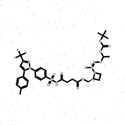 Cc1ccc(-c2cc(C(F)(F)F)nn2-c2ccc(S(=O)(=O)NC(=O)CCC(=O)OC[C@@H]3CCN3/[N+]([O-])=N\OC(C)OC(=O)OC(C)(C)C)cc2)cc1